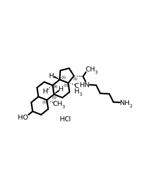 CC(NCCCCN)[C@H]1CC[C@H]2[C@@H]3CCC4CC(O)CC[C@]4(C)[C@H]3CC[C@]12C.Cl